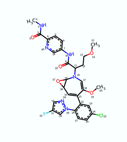 CNC(=O)c1ccc(NC(=O)C(CCOC)N2C=C(OC)C(c3cc(Cl)ccc3-n3cc(F)cn3)=CC3OC32)cn1